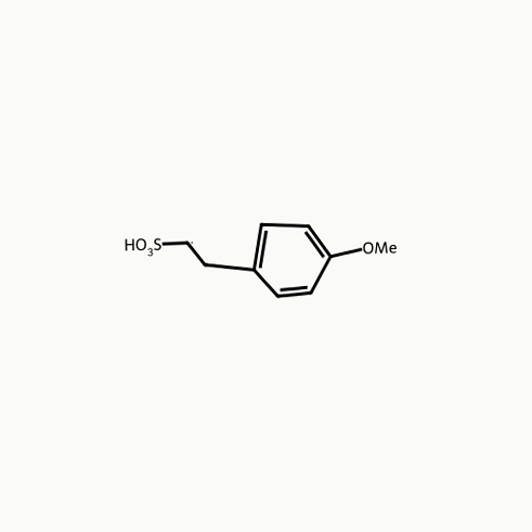 COc1ccc(C[CH]S(=O)(=O)O)cc1